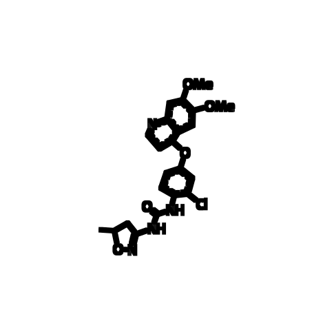 COc1cc2nccc(Oc3ccc(NC(=O)NC4=NOC(C)C4)c(Cl)c3)c2cc1OC